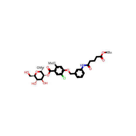 COc1cc(OCc2cccc(NC(=O)CCCC(=O)OC(C)(C)C)c2)c(Cl)cc1C(=O)O[C@H]1[C@@H](OC)O[C@H](CO)[C@@H](O)[C@@H]1O